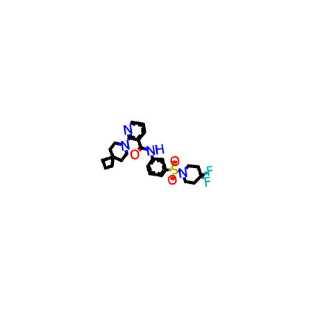 O=C(Nc1cccc(S(=O)(=O)N2CCC(F)(F)CC2)c1)c1cccnc1N1CCC2(CCC2)CC1